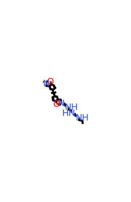 CCCNCCNCCNCCN1COc2ccc(C(C)(C)c3ccc4c(c3)CN(C)CO4)cc2C1